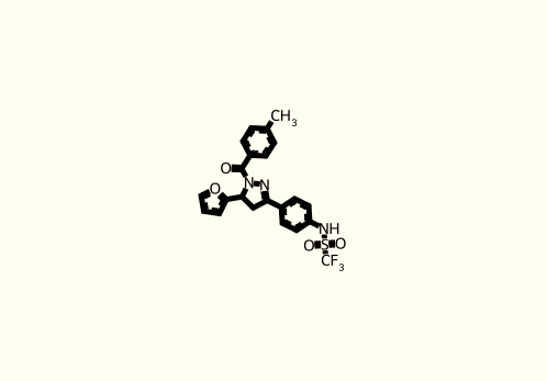 Cc1ccc(C(=O)N2N=C(c3ccc(NS(=O)(=O)C(F)(F)F)cc3)CC2c2ccco2)cc1